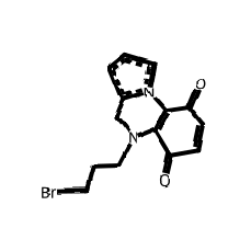 O=C1C=CC(=O)C2=C1N(CCCBr)Cc1cccn12